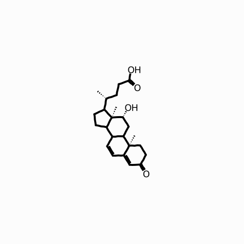 C[C@H](CCC(=O)O)C1CCC2C3C=CC4=CC(=O)CC[C@]4(C)C3C[C@@H](O)[C@@]21C